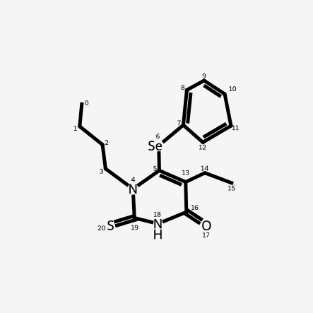 CCCCn1c([Se]c2ccccc2)c(CC)c(=O)[nH]c1=S